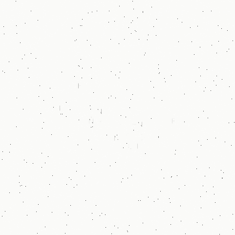 Cc1ncc(-c2cccn3c(-c4cc(F)cc(F)c4)ncc23)cc1C(=O)Nc1ccc(F)cc1